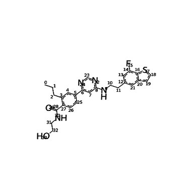 CCCc1cc(-c2cc(NCCc3cc(F)c4sccc4c3)ncn2)ccc1C(=O)NCCO